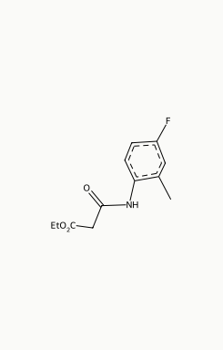 CCOC(=O)CC(=O)Nc1ccc(F)cc1C